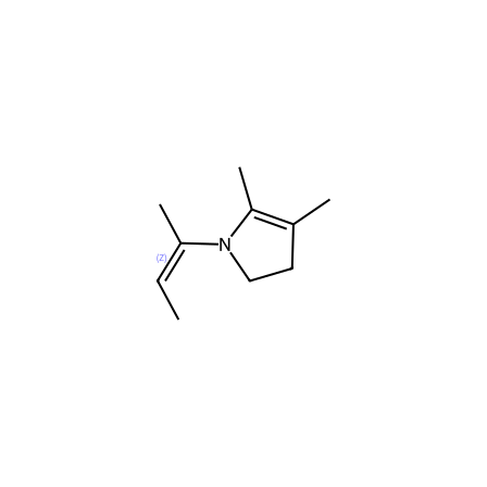 C/C=C(/C)N1CCC(C)=C1C